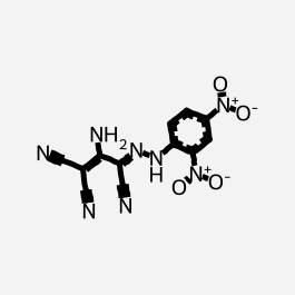 N#CC(=NNc1ccc([N+](=O)[O-])cc1[N+](=O)[O-])C(N)=C(C#N)C#N